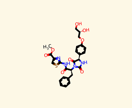 COC(=O)c1csc(NC(=O)[C@H](Cc2ccccc2)N2C(=O)N[C@H](c3ccc(OC[C@@H](O)CO)cc3)C2=O)n1